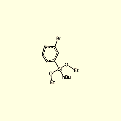 CCCC[Si](OCC)(OCC)c1cccc(Br)c1